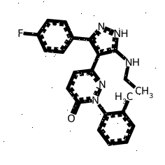 CCNc1[nH]nc(-c2ccc(F)cc2)c1-c1ccc(=O)n(-c2ccccc2C)n1